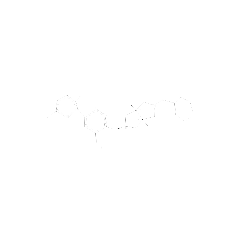 Fc1ccc(Cl)c(-c2cc(C(F)(F)F)c(O[C@H]3C[C@@H]4CN(CC5CCOCC5)C[C@@H]4C3)nn2)c1